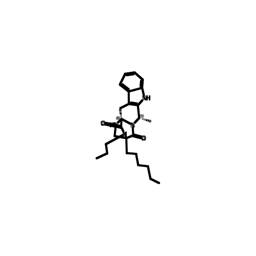 CCCCCCC12CN[C@]3(Cc4c([nH]c5ccccc45)[C@H](C)N3C1=O)C(=O)N2CCC